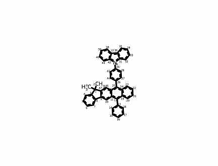 CC1(C)c2ccccc2-c2cc3c(-c4ccccc4)c4ccccc4c(-c4ccc(-n5c6ccccc6c6ccccc65)cc4)c3cc21